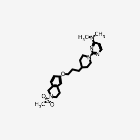 CN(C)c1ccnc(N2CCC(CCCOc3ccc4c(c3)CCN(S(C)(=O)=O)C4)CC2)n1